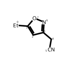 CCc1cc(CC#N)no1